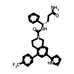 NC(=O)CC[C@H](NC(=O)N1CCc2c(cc(-c3ccc[nH]3)cc2-c2ccc(C(F)(F)F)cc2)C1)c1ccccc1